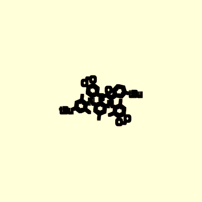 Cc1cc2c3c(c1)N(c1c(C)cc4c(c1C)OCO4)c1c(oc4ccc(C(C)(C)C)cc14)B3c1cc3c(cc1N2c1c(C)cc(C(C)(C)C)cc1C)OCO3